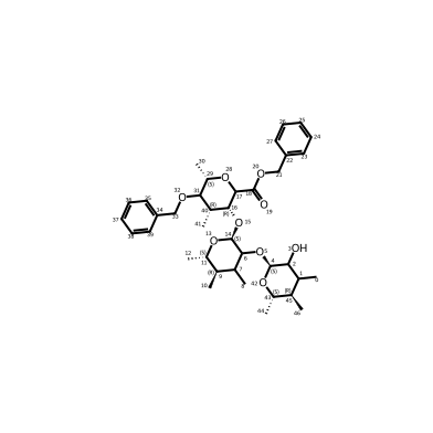 CC1C(O)[C@H](OC2C(C)[C@@H](C)[C@H](C)O[C@H]2O[C@H]2C(C(=O)OCc3ccccc3)O[C@@H](C)C(OCc3ccccc3)[C@H]2C)O[C@@H](C)[C@@H]1C